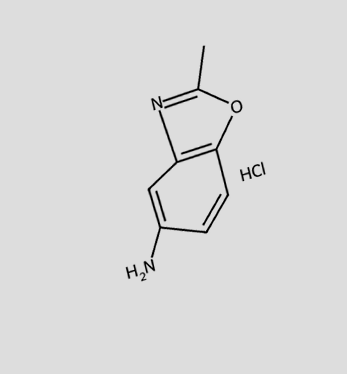 Cc1nc2cc(N)ccc2o1.Cl